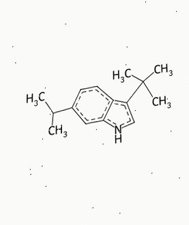 CC(C)c1ccc2c(C(C)(C)C)c[nH]c2c1